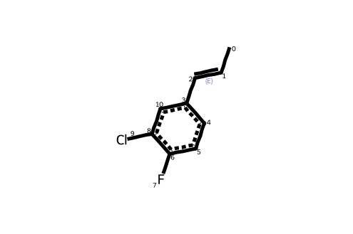 C/C=C/c1ccc(F)c(Cl)c1